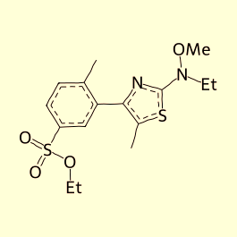 CCOS(=O)(=O)c1ccc(C)c(-c2nc(N(CC)OC)sc2C)c1